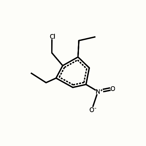 CCc1cc([N+](=O)[O-])cc(CC)c1CCl